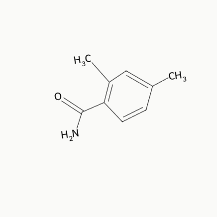 Cc1ccc(C(N)=O)c(C)c1